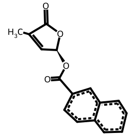 CC1=C[C@H](OC(=O)c2ccc3ccccc3c2)OC1=O